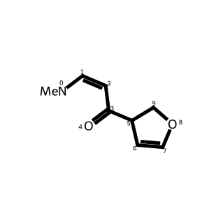 CN/C=C\C(=O)C1C=COC1